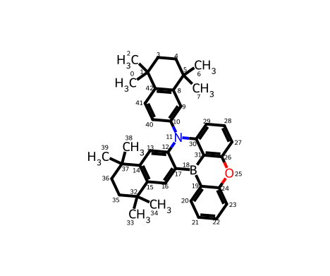 CC1(C)CCC(C)(C)c2cc(N3c4cc5c(cc4B4c6ccccc6Oc6cccc3c64)C(C)(C)CCC5(C)C)ccc21